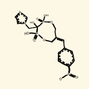 O=[N+]([O-])c1ccc(C=C2COP(=O)(O)C(O)(Cn3ccnc3)P(=O)(O)OC2)cc1